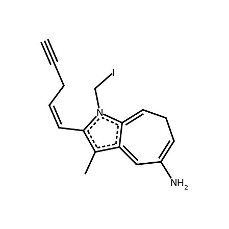 C#CC/C=C\c1c(C)c2c(n1CI)=CCC=C(N)C=2